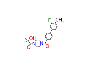 Cc1ccc(-c2ccc(C(=O)N3CCN(C(=O)C4(O)CC4)CC3)cc2)cc1F